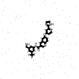 NCc1cc(NC(=O)c2cnc3ccc(Oc4ccnc(-c5ncc[nH]5)c4)cc3c2)cc(C(F)(F)F)c1